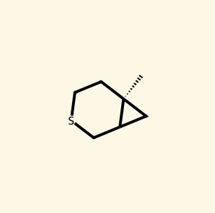 C[C@@]12CCSCC1C2